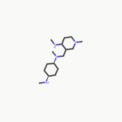 CNC1CCN(C)CC1CN(C)[C@H]1CC[C@@H](NC)CC1